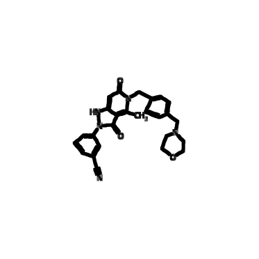 Cc1c2c(=O)n(-c3cccc(C#N)c3)[nH]c2cc(=O)n1Cc1ccc(CN2CCOCC2)cc1